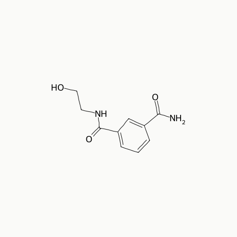 NC(=O)c1cccc(C(=O)NCCO)c1